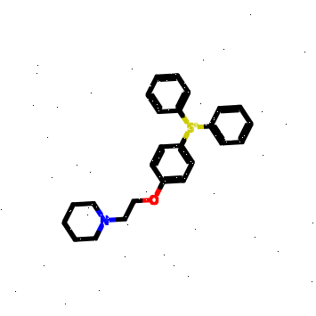 c1ccc([S+](c2ccccc2)c2ccc(OCCN3CCCCC3)cc2)cc1